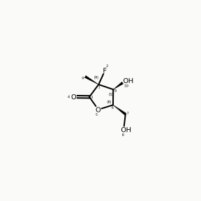 C[C@]1(F)C(=O)O[C@H](CO)[C@@H]1O